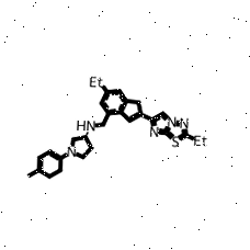 CCc1cc(CN[C@@H]2CCN(C3=CC=C(C)CC3)C2)c2c(c1)CC(c1cn3nc(CC)sc3n1)=C2